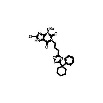 CCCCn1c(=O)n(CCCc2nc(C3(c4ccccc4)CCCCC3)no2)c(=O)c2[nH]c(Cl)nc21